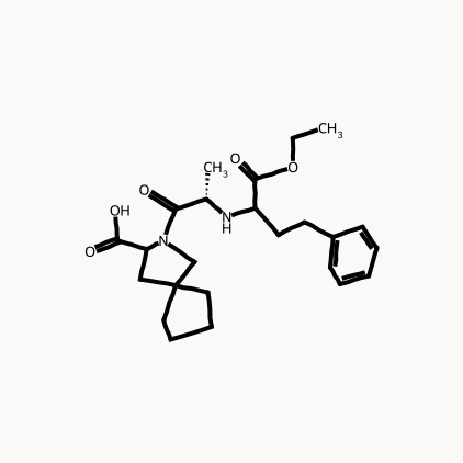 CCOC(=O)C(CCc1ccccc1)N[C@@H](C)C(=O)N1CC2(CCCC2)CC1C(=O)O